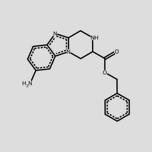 Nc1ccc2nc3n(c2c1)CC(C(=O)OCc1ccccc1)NC3